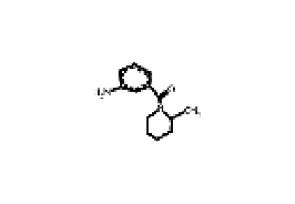 CC1CCCCN1C(=O)c1cccc(N)c1